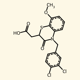 COc1cccc2c1SC(CC(=O)O)C(=O)N2Cc1ccc(Cl)c(Cl)c1